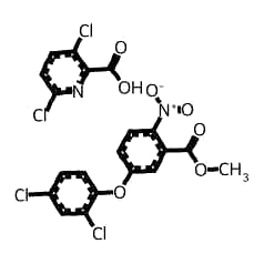 COC(=O)c1cc(Oc2ccc(Cl)cc2Cl)ccc1[N+](=O)[O-].O=C(O)c1nc(Cl)ccc1Cl